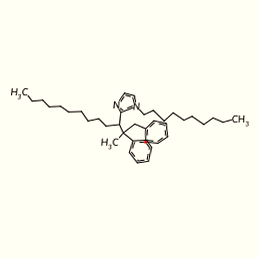 CCCCCCCCCCC(c1nccn1CCCCCCCCCC)C(C)(Cc1ccccc1)c1ccccc1